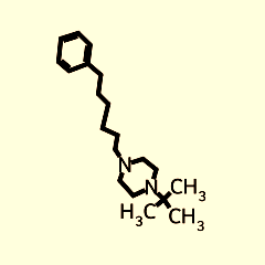 CC(C)(C)N1CCN(CCCCCCc2ccccc2)CC1